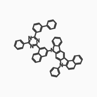 c1ccc(-c2cccc(-c3nc(-c4ccccc4)nc(-c4cc(-n5c6ccccc6c6cc7c8c9ccccc9ccc8n(-c8ccccc8)c7cc65)cc5ccccc45)n3)c2)cc1